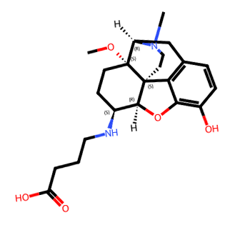 CO[C@@]12CC[C@H](NCCCC(=O)O)[C@@H]3Oc4c(O)ccc5c4[C@@]31CCN(C)[C@@H]2C5